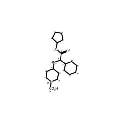 O=C(OC1CCCC1)C(NC1CCN(C(=O)O)CC1)C1CCCCC1